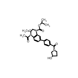 CC(=O)N1c2ccc(-c3ccc(C(=O)N4CCC(O)C4)cc3)cc2N(C(=O)OC(C)C)C[C@@H]1C